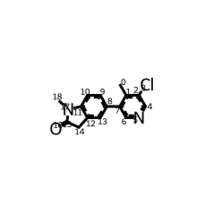 Cc1c(Cl)cncc1-c1ccc2c(c1)CC(=O)N2C